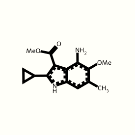 COC(=O)c1c(C2CC2)[nH]c2cc(C)c(OC)c(N)c12